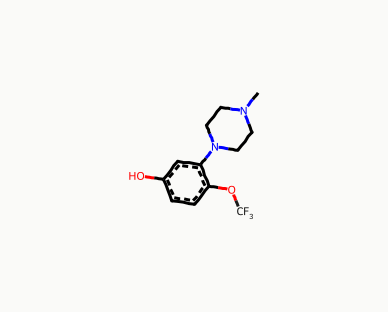 CN1CCN(c2cc(O)ccc2OC(F)(F)F)CC1